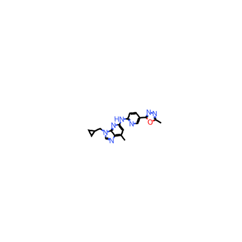 Cc1nnc(-c2ccc(Nc3cc(C)c4ncn(CC5CC5)c4n3)nc2)o1